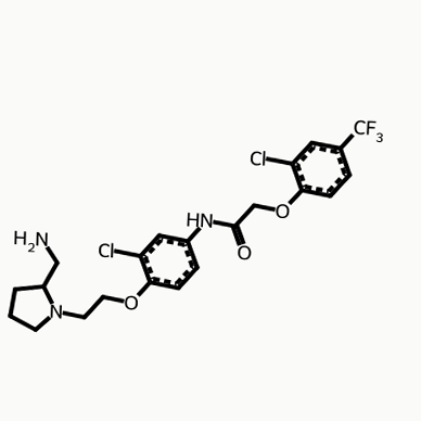 NCC1CCCN1CCOc1ccc(NC(=O)COc2ccc(C(F)(F)F)cc2Cl)cc1Cl